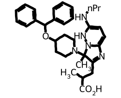 CCCNC1=CC=C2N=C(CC(C)C(=O)O)C(C)(N3CCC(OC(c4ccccc4)c4ccccc4)CC3)N2N1